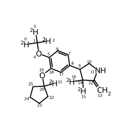 [2H]C([2H])([2H])Oc1ccc(C2CNC(=C)C2([2H])[2H])cc1OC1([2H])CCCC1